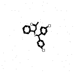 CC(=O)CC(SC(c1ccc(Cl)cc1)c1ccc(Cl)cc1)c1ccccc1